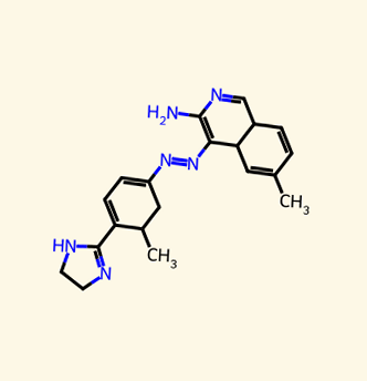 CC1=CC2C(/N=N/C3=CC=C(C4=NCCN4)C(C)C3)=C(N)N=CC2C=C1